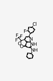 O=C(c1cc(-c2ccc(Cl)cc2F)nc2[nH]c(Nc3ccccc3)cc(=O)c12)C(F)(F)F